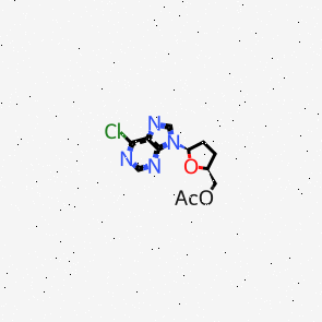 CC(=O)OC[C@@H]1CC[C@H](n2cnc3c(Cl)ncnc32)O1